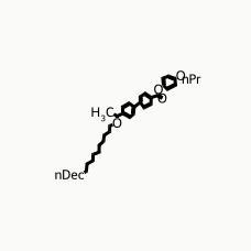 CCCCCCCCCCCCCCCCCCCCOC(C)c1ccc(-c2ccc(C(=O)Oc3ccc(OCCC)cc3)cc2)cc1